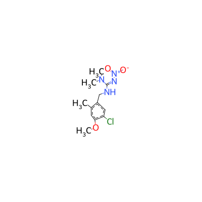 COc1cc(C)c(CN/C(=N/[N+](=O)[O-])N(C)C)cc1Cl